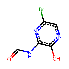 O=CNc1nc(Br)cnc1O